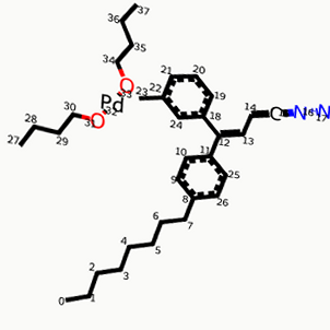 CCCCCCCCc1ccc(C(=CC=C=[N+]=[N-])c2cccc(C)c2)cc1.CCCC[O][Pd][O]CCCC